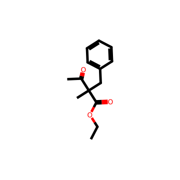 CCOC(=O)C(C)(Cc1ccccc1)C(C)=O